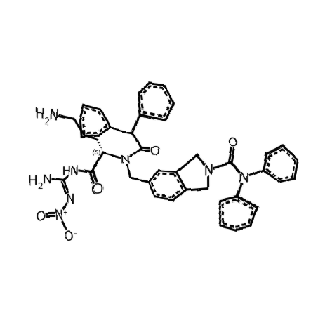 NCCC[C@@H](C(=O)NC(N)=N[N+](=O)[O-])N(Cc1ccc2c(c1)CN(C(=O)N(c1ccccc1)c1ccccc1)C2)C(=O)C(c1ccccc1)c1ccccc1